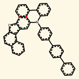 c1ccc(-c2ccc(-c3ccc(N(c4cnc5oc6ccc7ccccc7c6c5c4)c4ccccc4-c4ccccc4)cc3)cc2)cc1